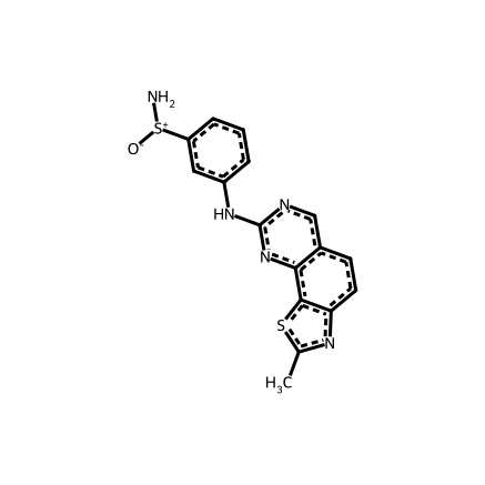 Cc1nc2ccc3cnc(Nc4cccc([S+](N)[O-])c4)nc3c2s1